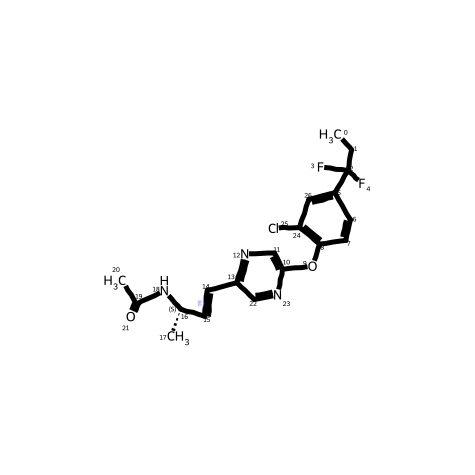 CCC(F)(F)c1ccc(Oc2cnc(/C=C/[C@H](C)NC(C)=O)cn2)c(Cl)c1